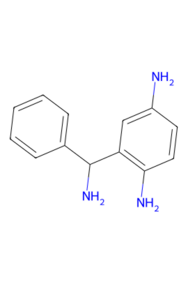 Nc1ccc(N)c(C(N)c2ccccc2)c1